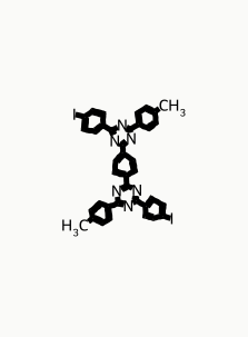 Cc1ccc(-c2nc(-c3ccc(I)cc3)nc(-c3ccc(-c4nc(-c5ccc(C)cc5)nc(-c5ccc(I)cc5)n4)cc3)n2)cc1